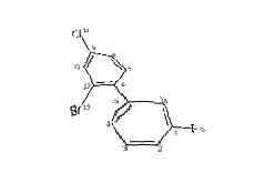 Fc1cccc(-c2ccc(Cl)cc2Br)c1